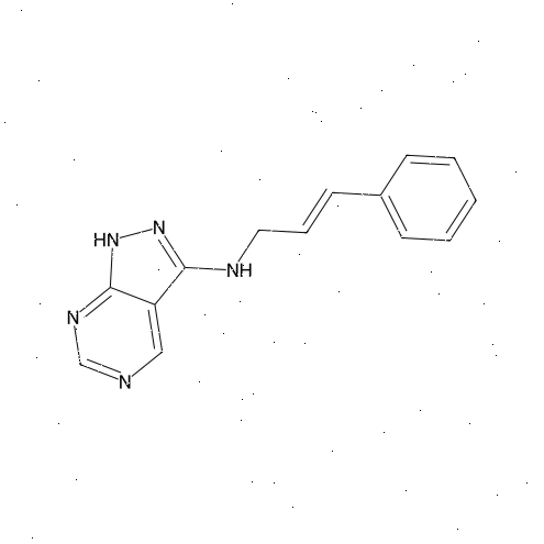 C(=Cc1ccccc1)CNc1n[nH]c2ncncc12